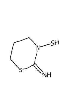 N=C1SCCCN1S